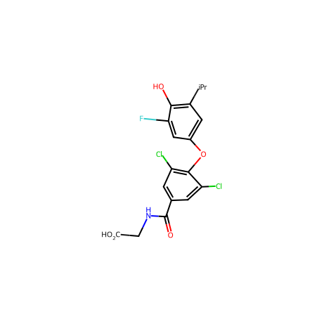 CC(C)c1cc(Oc2c(Cl)cc(C(=O)NCC(=O)O)cc2Cl)cc(F)c1O